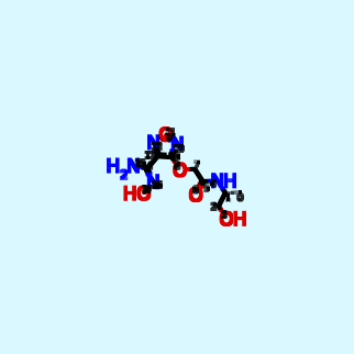 C[C@H](CO)NC(=O)COc1nonc1/C(N)=N/O